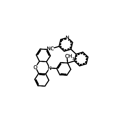 CC1(c2ccccc2-c2cncc(C#N)c2)C=C(N2C3=C(C=CCC3)OC3C=CC=CC32)C=CC1